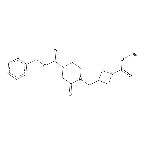 CC(C)(C)OC(=O)N1CC(CN2CCN(C(=O)OCc3ccccc3)CC2=O)C1